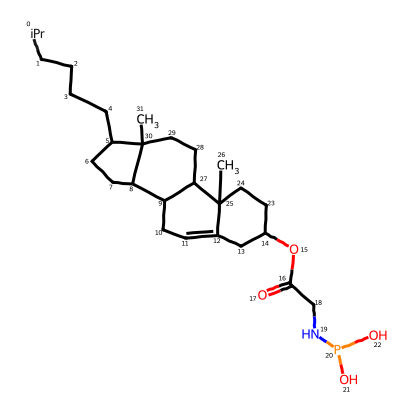 CC(C)CCCCC1CCC2C3CC=C4CC(OC(=O)CNP(O)O)CCC4(C)C3CCC12C